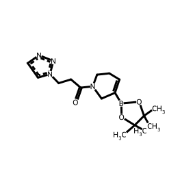 CC1(C)OB(C2=CCCN(C(=O)CCn3ccnn3)C2)OC1(C)C